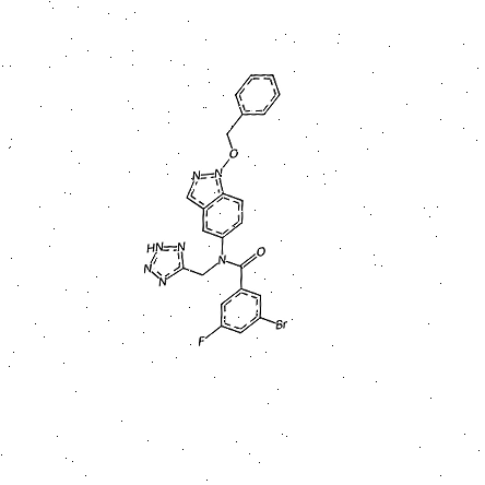 O=C(c1cc(F)cc(Br)c1)N(Cc1nn[nH]n1)c1ccc2c(cnn2OCc2ccccc2)c1